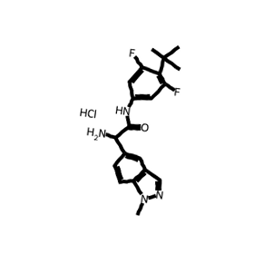 Cl.Cn1ncc2cc(C(N)C(=O)Nc3cc(F)c(C(C)(C)C)c(F)c3)ccc21